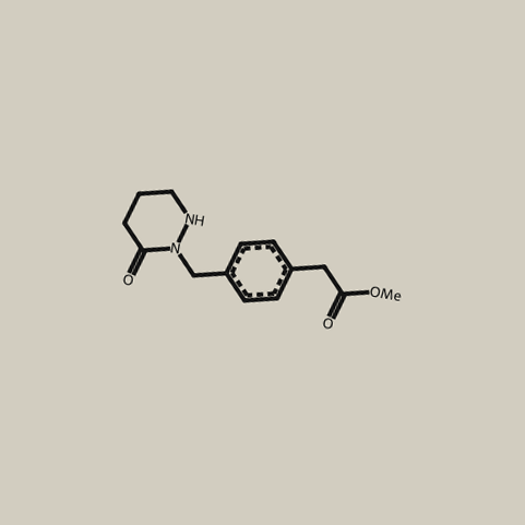 COC(=O)Cc1ccc(CN2NCCCC2=O)cc1